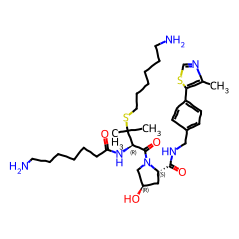 Cc1ncsc1-c1ccc(CNC(=O)[C@@H]2C[C@@H](O)CN2C(=O)[C@@H](NC(=O)CCCCCCN)C(C)(C)SCCCCCCN)cc1